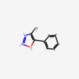 CC(C)c1nnoc1-c1ccccc1